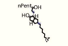 CCCCC[C@H](O)/C=C/[C@@H]1[C@H]2C/C(=C/CCCCCN(C)C)C[C@H]2C[C@H]1O